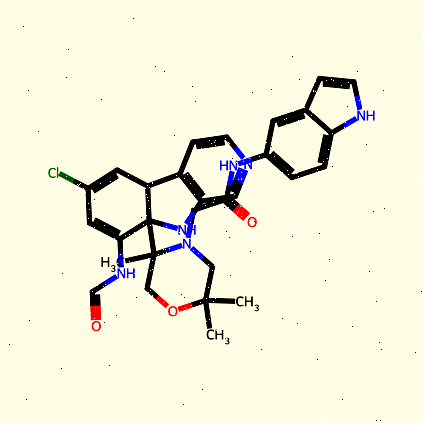 CC1(C)CN(CC(=O)Nc2ccc3[nH]ccc3c2)C(C)(C23Nc4cnccc4C2C=C(Cl)C=C3NC=O)CO1